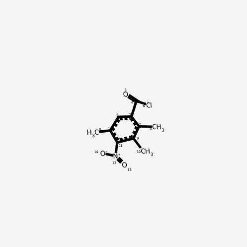 Cc1cc(C(=O)Cl)c(C)c(C)c1[N+](=O)[O-]